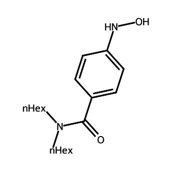 CCCCCCN(CCCCCC)C(=O)c1ccc(NO)cc1